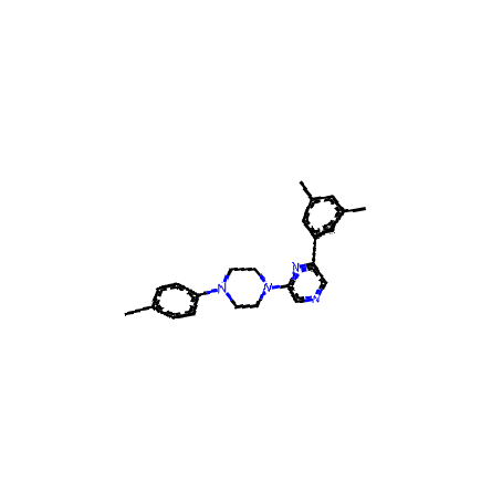 Cc1ccc(N2CCN(c3cncc(-c4cc(C)cc(C)c4)n3)CC2)cc1